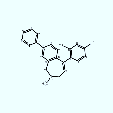 CN1CC=C(c2ccc(F)cc2F)c2ccc(-c3cccnn3)cc2C1